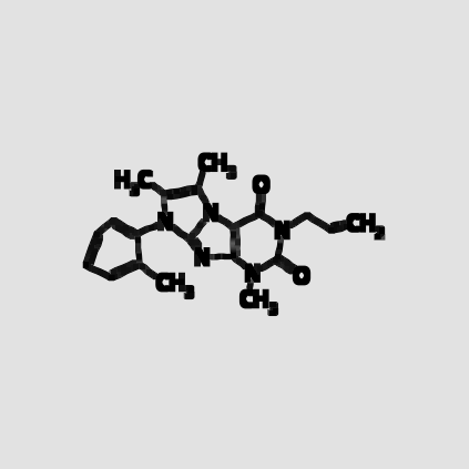 C=CCn1c(=O)c2c(nc3n(-c4ccccc4C)c(C)c(C)n23)n(C)c1=O